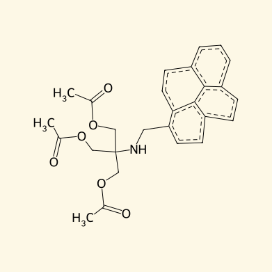 CC(=O)OCC(COC(C)=O)(COC(C)=O)NCc1ccc2ccc3cccc4ccc1c2c34